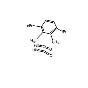 CCCc1ccc(C(C)C)c(C)c1C.N=C=O.N=C=O